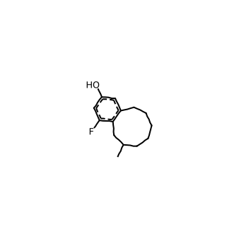 CC1CCCCCc2cc(O)cc(F)c2C1